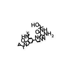 CSNc1cc(-c2ccn3nc(N)c(C(=O)NC(C)(C)CO)c3n2)cc2c1C(=O)N(C(C)C1CC1)C2